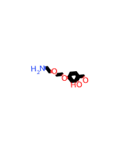 NCCOCCOc1ccc(C=O)c(O)c1